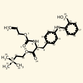 C=CCOC(=O)N[C@@H](Cc1ccc(Nc2ccccc2C(=O)O)cc1)C(=O)OCC[Si](C)(C)C